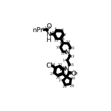 CCCC(=O)Nc1cccc(C2CCN(CCCNC(=O)C3(c4ccc(Cl)cc4)CCCC3)CC2)c1